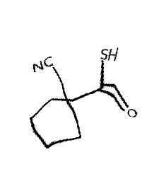 N#CC1(C(=O)S)CCC1